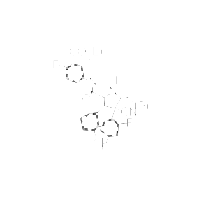 CCOC(=O)c1cc(NC(=O)C2N[C@@H](CC(C)(C)C)[C@](C#N)(c3ccc(Cl)cc3F)[C@H]2c2cccc(Cl)c2F)ccc1F